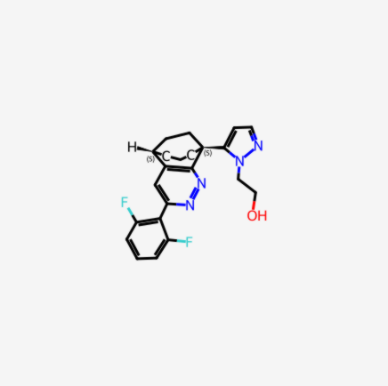 OCCn1nccc1[C@@]12CCC[C@@H](CC1)c1cc(-c3c(F)cccc3F)nnc12